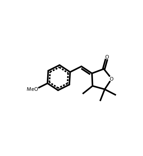 COc1ccc(C=C2C(=O)OC(C)(C)C2C)cc1